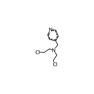 ClCCN(CCCl)Cc1ccncc1